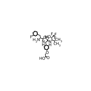 CC(C)[C@H](NC(=O)[C@@H](NC(=O)[C@@H](N)Cc1cccc(F)c1)c1ccc(OCC(=O)O)cc1)[C@H](O)C(F)(F)F